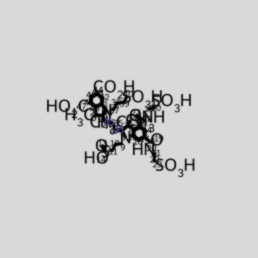 CC1(C)C(/C=C/C=C2/N(CCCS(=O)O)c3cc(C(=O)NCCS(=O)(=O)O)cc(C(=O)NCCS(=O)(=O)O)c3C2(C)C)=[N+](CCCS(=O)(=O)O)c2cc(C(=O)O)cc(C(=O)O)c21